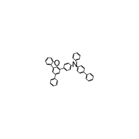 c1ccc(-c2ccc(N(c3ccccc3)c3ccc(-c4cc(-c5ccccc5)cc5c4oc4ccccc45)cc3)cc2)cc1